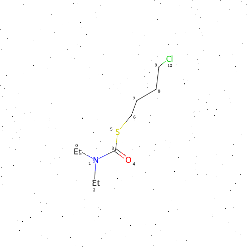 CCN(CC)C(=O)SCCCCCl